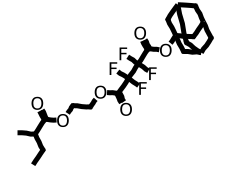 CCC(C)C(=O)OCCOC(=O)C(F)(F)C(F)(F)C(=O)OC12CC3CC(CC(C3)C1)C2